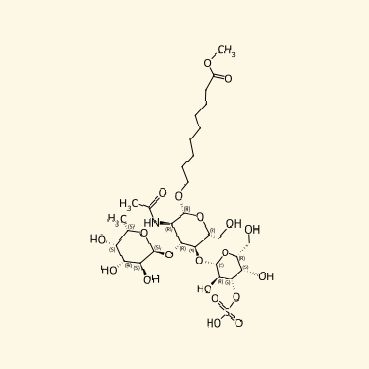 COC(=O)CCCCCCCCO[C@@H]1O[C@H](CO)[C@@H](O[C@@H]2O[C@H](CO)[C@H](O)[C@H](OS(=O)(=O)O)[C@H]2O)[C@H](O[C@@H]2O[C@@H](C)[C@@H](O)[C@@H](O)[C@@H]2O)[C@H]1NC(C)=O